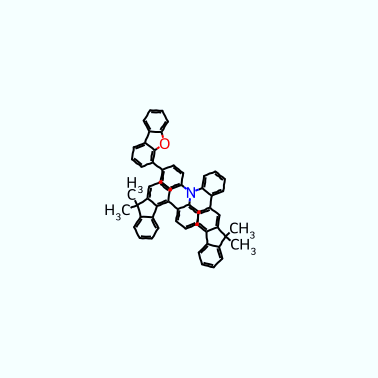 CC1(C)c2ccccc2-c2ccc(-c3ccccc3N(c3ccc(-c4cccc5c4oc4ccccc45)cc3)c3ccccc3-c3cccc4c3-c3ccccc3C4(C)C)cc21